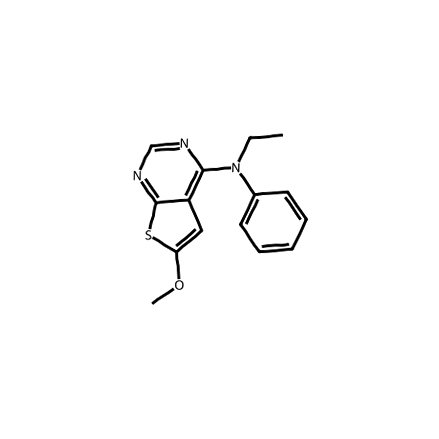 CCN(c1ccccc1)c1ncnc2sc(OC)cc12